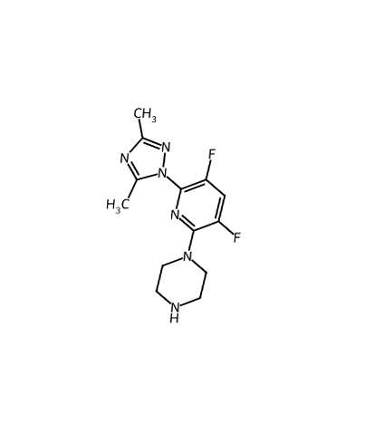 Cc1nc(C)n(-c2nc(N3CCNCC3)c(F)cc2F)n1